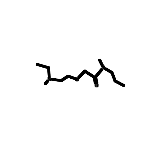 CCCN(C)C(=O)COCCN(C)CC